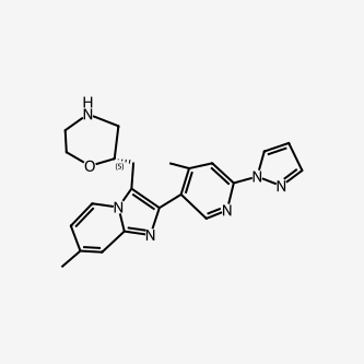 Cc1ccn2c(C[C@H]3CNCCO3)c(-c3cnc(-n4cccn4)cc3C)nc2c1